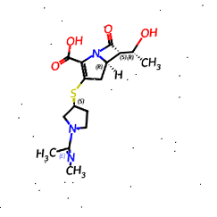 C/N=C(\C)N1CC[C@H](SC2=C(C(=O)O)N3C(=O)[C@H]([C@@H](C)O)[C@H]3C2)C1